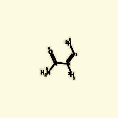 [2H]/C=C(/[2H])C(N)=O